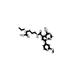 CCC[C@H](CCCNC(=O)c1cc(-c2ccnc(OC)c2)n2ncnc(N)c12)C(=O)O